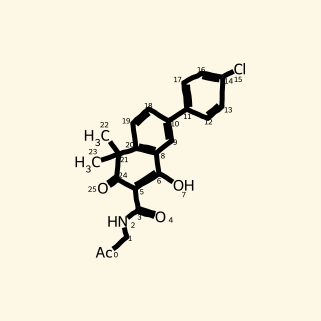 CC(=O)CNC(=O)C1=C(O)c2cc(-c3ccc(Cl)cc3)ccc2C(C)(C)C1=O